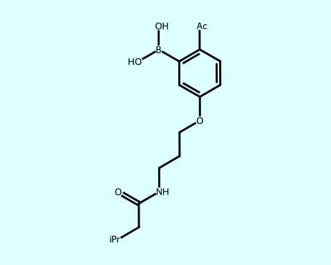 CC(=O)c1ccc(OCCCNC(=O)CC(C)C)cc1B(O)O